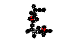 c1ccc(-c2ccc(-c3nc(-c4ccccc4)nc(-n4c5ccccc5c5c6c7ccccc7n(-c7ccccc7-c7cc(-c8ccccc8)cc(-c8ccc(-c9cc(-c%10ccccc%10)cc(-c%10nc(-c%11ccccc%11)nc(-n%11c%12ccccc%12c%12c%13c%14ccccc%14n(-c%14ccccc%14-c%14cc(-c%15ccccc%15)cc(-c%15ccccc%15)c%14)c%13ccc%12%11)n%10)c9)cc8)c7)c6ccc54)n3)cc2)cc1